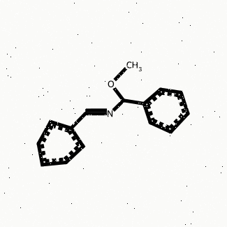 COC(/N=C/c1ccccc1)c1ccccc1